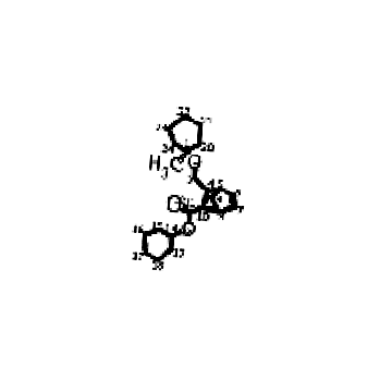 CC1(OCC2C3C=CC(C3)C2C(=O)OC2CCCCC2)CCCCC1